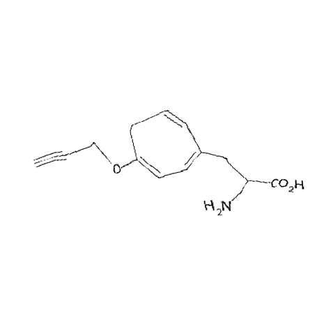 C#CCOC1=CC=C(CC(N)C(=O)O)C=CC1